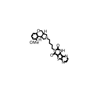 COc1cccc2c1[C@@H]1CN(CCCCn3c(=O)[nH]c4c(sc5nccnc54)c3=O)C[C@H]1CO2